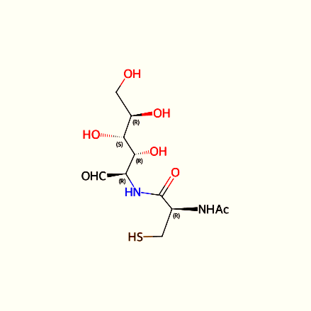 CC(=O)N[C@@H](CS)C(=O)N[C@@H](C=O)[C@@H](O)[C@H](O)[C@H](O)CO